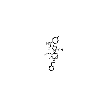 CC1C=CC2=C(C=C1)C1(CC(C#N)N(C(=O)C(CC(C)C)N(C)C(=O)OCc3ccccc3)C1)C(=O)N2